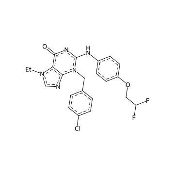 CCn1cnc2c1c(=O)nc(Nc1ccc(OCC(F)F)cc1)n2Cc1ccc(Cl)cc1